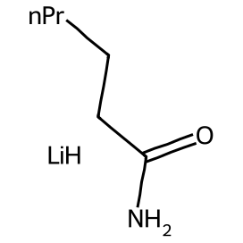 CCCCCC(N)=O.[LiH]